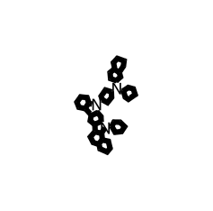 c1ccc(N(c2ccc(-n3c4ccccc4c4cc5c6ccc7ccccc7c6n(-c6ccccc6)c5cc43)cc2)c2ccc3ccccc3c2)cc1